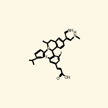 CN/C=C(\C=N)c1ccc2c(c1)CC(C)N(c1ccc(C(C)C)cc1)C2c1c(F)cc(/C=C/C(=O)O)cc1F